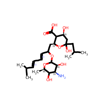 CC(C)/C=C/C=C/C(C[C@@H]1OC(O)(CC(C)C)C[C@H](O)C1C(=O)O)OC1O[C@H](C)C(O)[C@H](N)[C@@H]1O